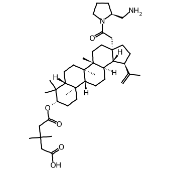 C=C(C)[C@@H]1CC[C@]2(CC(=O)N3CCC[C@H]3CN)CC[C@]3(C)[C@H](CC[C@@H]4[C@@]5(C)CC[C@H](OC(=O)CC(C)(C)CC(=O)O)C(C)(C)[C@@H]5CC[C@]43C)[C@@H]12